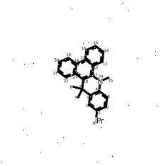 CC(C)c1ccc2c(c1)C(C)(C)c1c(c3ccccc3c3ccccc13)N2C